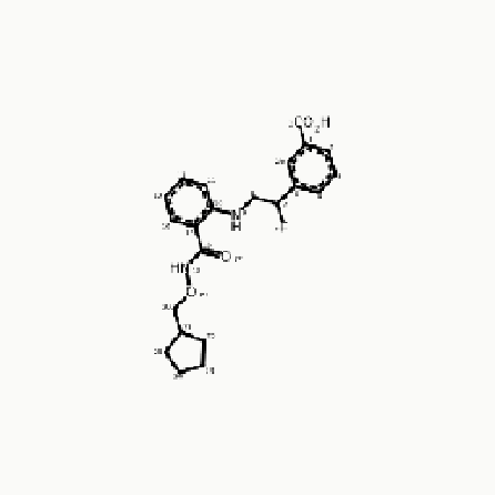 O=C(O)c1cccc(C(F)CNc2ccccc2C(=O)NOCC2CCCC2)c1